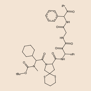 CCCC(NC(=O)C1CC2(CN1C(=O)C(C1CCCCC1)N(C)C(=O)OC(C)(C)C)SCCCS2)C(=O)C(=O)NCC(=O)NC(C(=O)C(C)C)c1ccccc1